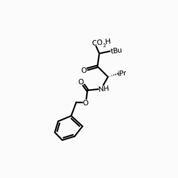 CC(C)[C@H](NC(=O)OCc1ccccc1)C(=O)C(C(=O)O)C(C)(C)C